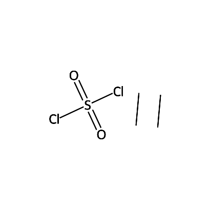 CC.CC.O=S(=O)(Cl)Cl